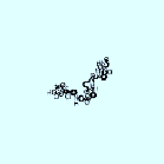 CC(C)(C)OC(=O)c1sc(-c2cccc(NC3CCN(S(=O)(=O)Cc4cccc(NC(=O)CCCCCCNC(=O)CNc5cccc6c5CN(C5CCC(=O)NC5=O)C6=O)c4)CC3)c2)c(Cl)c1OCC(=O)O